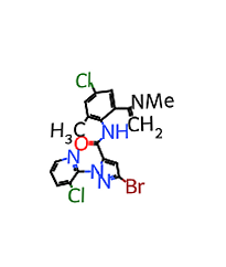 C=C(NC)c1cc(Cl)cc(C)c1NC(=O)c1cc(Br)nn1-c1ncccc1Cl